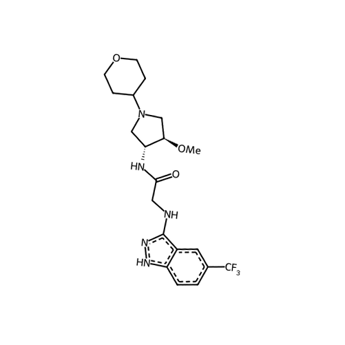 CO[C@@H]1CN(C2CCOCC2)C[C@H]1NC(=O)CNc1n[nH]c2ccc(C(F)(F)F)cc12